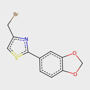 BrCc1csc(-c2ccc3c(c2)OCO3)n1